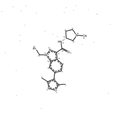 Cc1noc(C)c1-c1ccc2c(C(=O)N[C@@H]3CCN(C#N)C3)nn(CC(C)C)c2c1